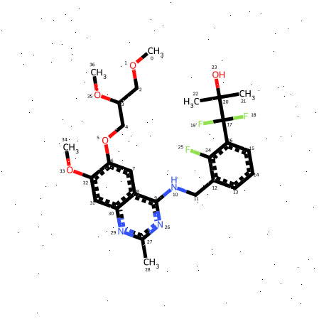 COCC(COc1cc2c(NCc3cccc(C(F)(F)C(C)(C)O)c3F)nc(C)nc2cc1OC)OC